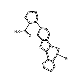 CC(=O)c1ccccc1-c1ccc2c(c1)oc1c3ccccc3c(Br)cc21